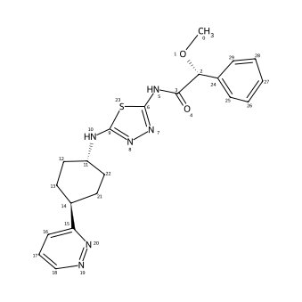 CO[C@@H](C(=O)Nc1nnc(N[C@H]2CC[C@H](c3cccnn3)CC2)s1)c1ccccc1